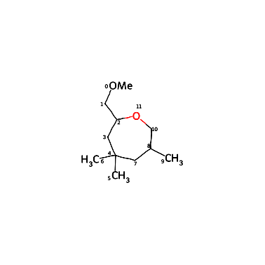 COCC1CC(C)(C)CC(C)CO1